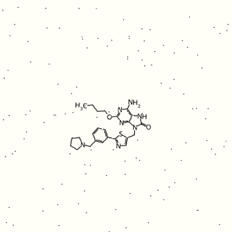 CCCCOc1nc(N)c2[nH]c(=O)n(Cc3cnc(-c4cccc(CN5CCCC5)c4)s3)c2n1